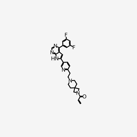 C=CC(=O)N1CC2(CCN(CCc3ccc(-c4cc5c(-c6cc(F)cc(F)c6)ncnc5[nH]4)cn3)CC2)C1